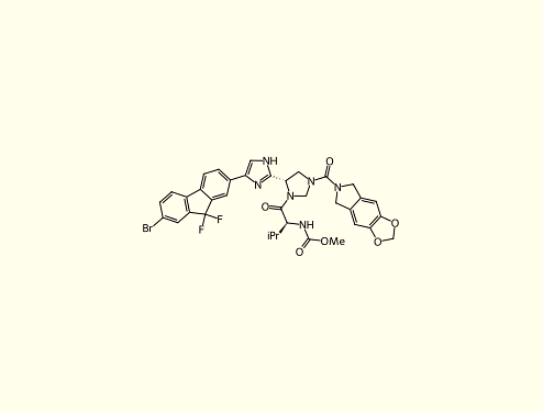 COC(=O)N[C@H](C(=O)N1CN(C(=O)N2Cc3cc4c(cc3C2)OCO4)C[C@H]1c1nc(-c2ccc3c(c2)C(F)(F)c2cc(Br)ccc2-3)c[nH]1)C(C)C